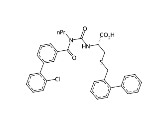 CCCN(C(=O)N[C@@H](CSCc1ccccc1-c1ccccc1)C(=O)O)C(=O)c1cccc(-c2ccccc2Cl)c1